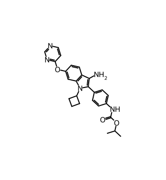 CC(C)OC(=O)Nc1ccc(-c2c(N)c3ccc(Oc4ccncn4)cc3n2C2CCC2)cc1